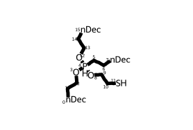 CCCCCCCCCCCCO[PH](CCCCCCCCCCCC)(OCCS)OCCCCCCCCCCCC